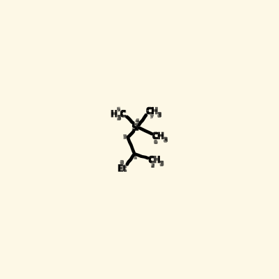 CCC(C)[CH][Si](C)(C)C